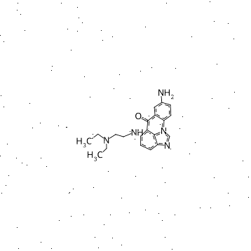 CCN(CC)CCNc1ccc2ncn3c4ccc(N)cc4c(=O)c1c23